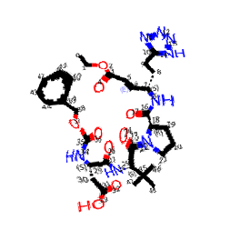 CCOC(=O)/C=C/[C@H](CCc1nnn[nH]1)NC(=O)[C@H]1CCCN1C(=O)[C@@H](NC(=O)[C@H](CC(=O)O)NC(=O)OCc1ccccc1)C(C)(C)C